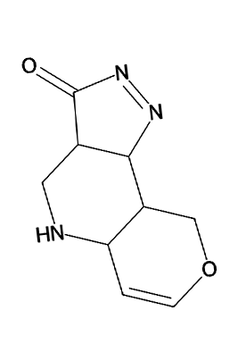 O=C1N=NC2C1CNC1C=COCC12